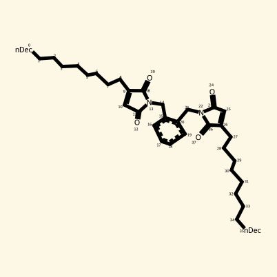 CCCCCCCCCCCCCCCCCCC1=CC(=O)N(Cc2ccccc2CN2C(=O)C=C(CCCCCCCCCCCCCCCCCC)C2=O)C1=O